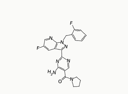 Nc1nc(-c2nn(Cc3ccccc3F)c3ncc(F)cc23)ncc1C(=O)N1CCCC1